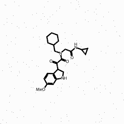 COc1ccc2c(c1)NCC2C(=O)C(=O)N(CC(=O)NC1CC1)CC1CCCCC1